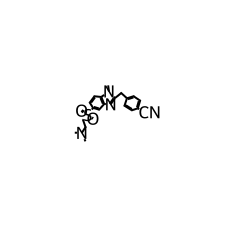 CN(C)CCS(=O)(=O)c1ccc2c(c1)nc(Cc1ccc(C#N)cc1)n2C